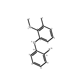 COc1c(C)cccc1Oc1ccccc1F